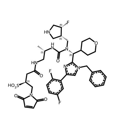 C[C@@H](CNC(=O)C[C@@H](CN1C(=O)C=CC1=O)S(=O)(=O)O)NC(=O)N(C[C@@H]1CNC[C@@H]1F)[C@@H](c1nc(-c2cc(F)ccc2F)cn1Cc1ccccc1)C1CCOCC1